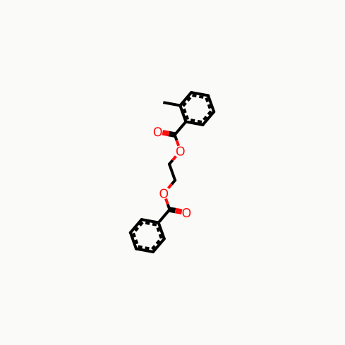 Cc1ccccc1C(=O)OCCOC(=O)c1ccccc1